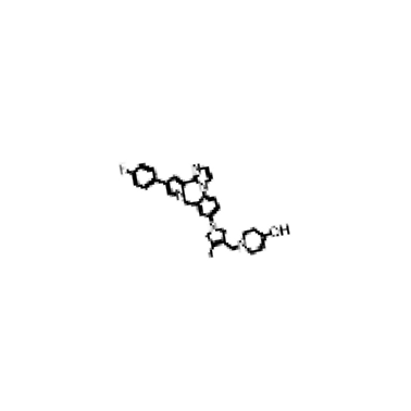 CC1=C(CN2CCC(O)CC2)CN(c2ccc3c(c2)Cn2cc(-c4ccc(F)cc4)cc2-c2nccn2-3)C1